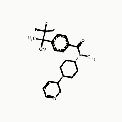 CN(C(=O)c1ccc([C@](C)(O)C(F)(F)F)cc1)[C@H]1CC[C@H](C2C=CC=NC2)CC1